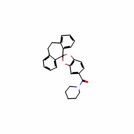 O=C(c1ccc2c(c1)OC1(O2)c2ccccc2CCc2ccccc21)N1CCCCC1